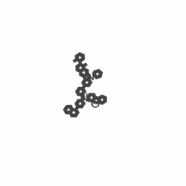 Cc1ccccc1-c1ccc2cc3c4cc(-c5cccc(N(c6ccc(-c7cccc8ccccc78)cc6)c6ccc7c(c6)oc6ccccc67)c5)ccc4n(-c4ccccc4)c3cc2c1C